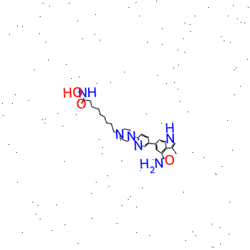 Cc1c[nH]c2cc(-c3ccc(N4CCN(CCCCCCCCC(=O)NO)CC4)nc3)cc(C(N)=O)c12